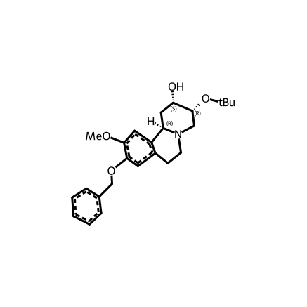 COc1cc2c(cc1OCc1ccccc1)CCN1C[C@@H](OC(C)(C)C)[C@@H](O)C[C@H]21